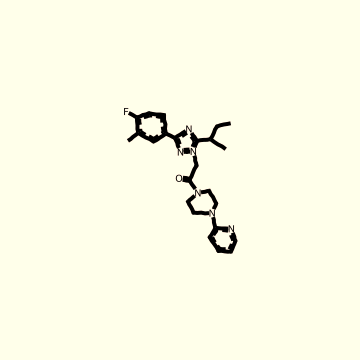 CCC(C)c1nc(-c2ccc(F)c(C)c2)nn1CC(=O)N1CCN(c2ccccn2)CC1